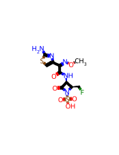 CON=C(C(=O)N[C@@H]1C(=O)N(S(=O)(=O)O)[C@@H]1CF)c1csc(N)n1